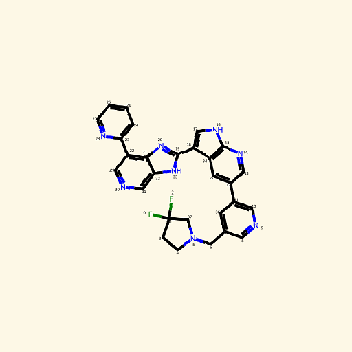 FC1(F)CCN(Cc2cncc(-c3cnc4[nH]cc(-c5nc6c(-c7ccccn7)cncc6[nH]5)c4c3)c2)C1